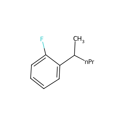 CCCC(C)c1ccccc1F